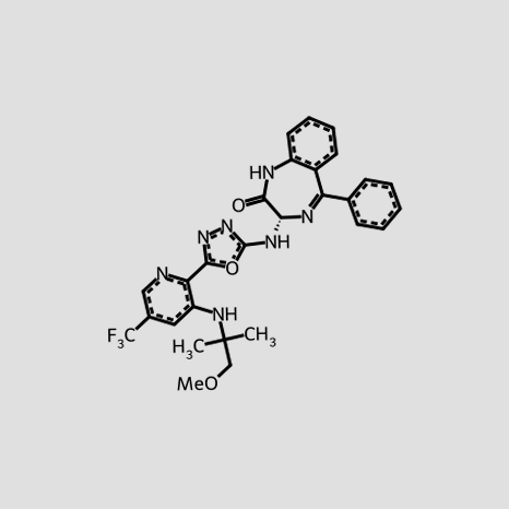 COCC(C)(C)Nc1cc(C(F)(F)F)cnc1-c1nnc(N[C@H]2N=C(c3ccccc3)c3ccccc3NC2=O)o1